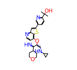 CC(C)(O)c1ccc(-c2cc3nccc(O/C(=C/NC4CC4)C(=N)C4CCOCC4)c3s2)cn1